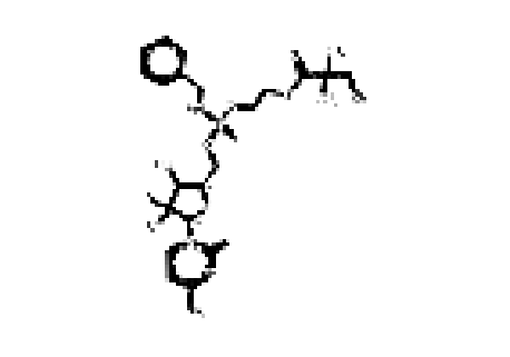 CC(C)(CO)C(=O)SCCOP(=O)(NCc1ccccc1)OC[C@H]1O[C@@H](n2ccc(N)nc2=O)C(C)(F)C1O